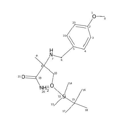 COc1ccc(CNC(C)(CO[Si](C)(C)C(C)(C)C)C(N)=O)cc1